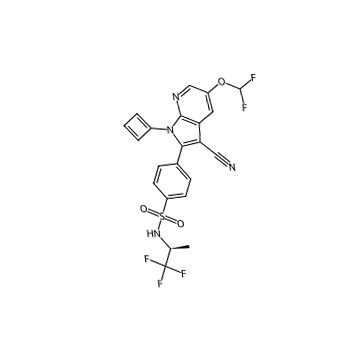 C[C@H](NS(=O)(=O)c1ccc(-c2c(C#N)c3cc(OC(F)F)cnc3n2C2=CC=C2)cc1)C(F)(F)F